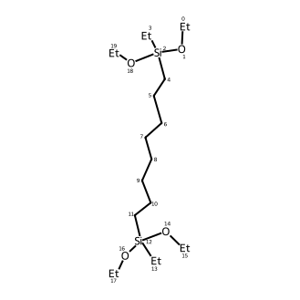 CCO[Si](CC)(CCCCCCCC[Si](CC)(OCC)OCC)OCC